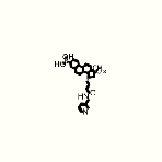 C[C@]12CCC3c4ccc(B(O)O)cc4CCC3C1[C@@H](CCCC(=O)NCc1cccnc1)CC2=O